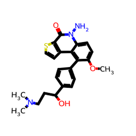 COc1ccc2c(c1-c1ccc(C(O)CCN(C)C)cc1)c1ccsc1c(=O)n2N